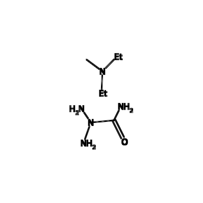 CCN(C)CC.NC(=O)N(N)N